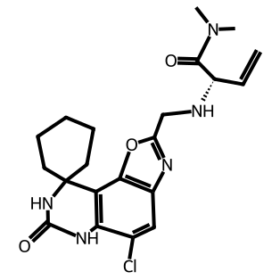 C=C[C@H](NCc1nc2cc(Cl)c3c(c2o1)C1(CCCCC1)NC(=O)N3)C(=O)N(C)C